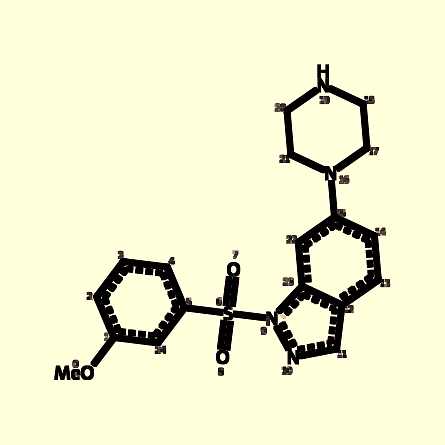 COc1cccc(S(=O)(=O)n2ncc3ccc(N4CCNCC4)cc32)c1